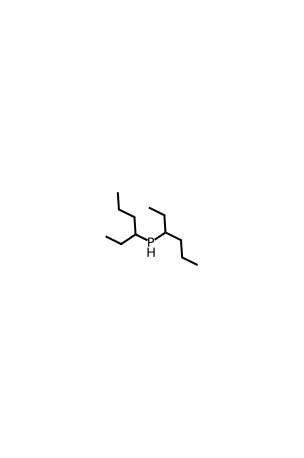 CCCC(CC)PC(CC)CCC